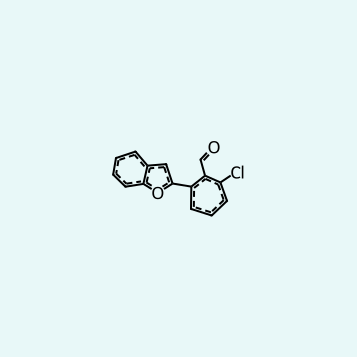 O=Cc1c(Cl)cccc1-c1cc2ccccc2o1